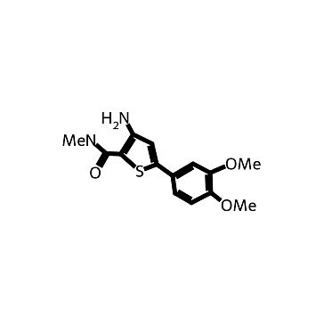 CNC(=O)c1sc(-c2ccc(OC)c(OC)c2)cc1N